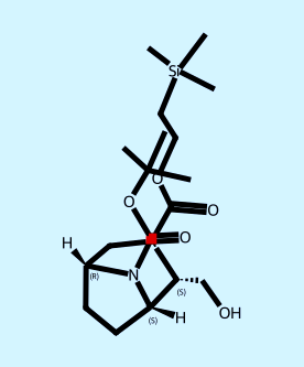 CC(C)(C)OC(=O)N1[C@@H]2CC[C@H]1[C@@H](CO)N(C(=O)OCC[Si](C)(C)C)C2